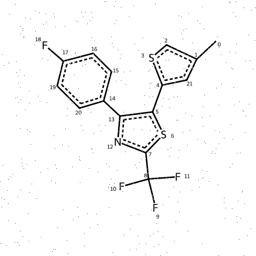 Cc1csc(-c2sc(C(F)(F)F)nc2-c2ccc(F)cc2)c1